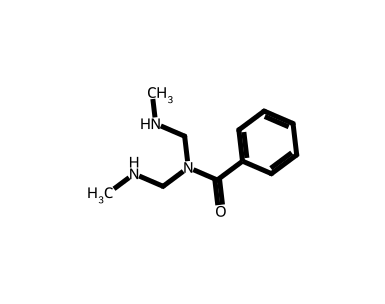 CNCN(CNC)C(=O)c1ccccc1